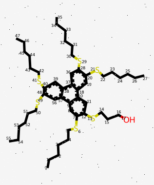 CCCCCCSc1cc2c(cc1SCCCO)c1cc(SCCCCCC)c(SCCCCCC)cc1c1cc(SCCCCCC)c(SCCCCCC)cc21